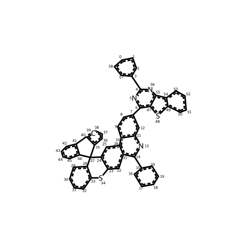 c1ccc(-c2nc(-c3ccc4c(c3)nc(-c3ccccc3)c3cc5c(cc34)C3(c4ccccc4S5)c4ccccc4-c4ccccc43)c3sc4ccccc4c3n2)cc1